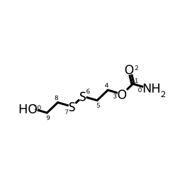 NC(=O)OCCSSCCO